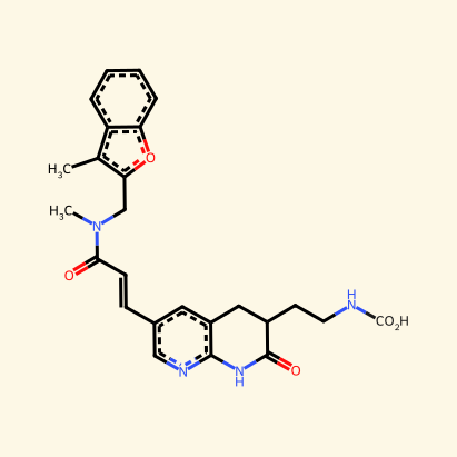 Cc1c(CN(C)C(=O)C=Cc2cnc3c(c2)CC(CCNC(=O)O)C(=O)N3)oc2ccccc12